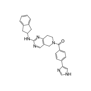 O=C(c1ccc(-c2c[nH]cn2)cc1)N1CCc2nc(NC3Cc4ccccc4C3)ncc2C1